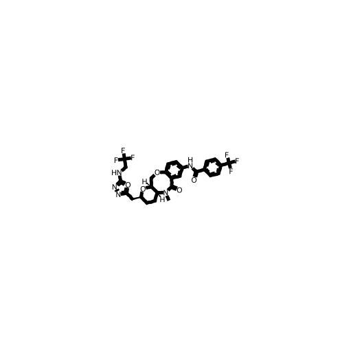 CN1C(=O)c2cc(NC(=O)c3ccc(C(F)(F)F)cc3)ccc2OC[C@@H]2O[C@H](Cc3nnc(NCC(F)(F)F)o3)CC[C@@H]21